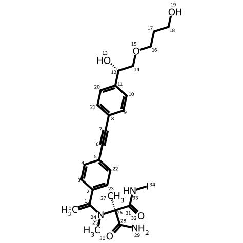 C=C(c1ccc(C#Cc2ccc([C@H](O)COCCCO)cc2)cc1)N(C)[C@](C)(C(N)=O)C(=O)NI